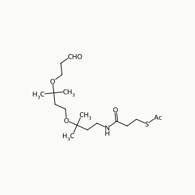 CC(=O)SCCC(=O)NCCC(C)(C)OCCC(C)(C)OCCC=O